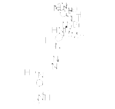 CCc1cc(Nc2ncc(Br)c(Nc3ccc4nccnc4c3P(C)(C)=O)n2)c(OC)cc1N1CCC(N2CCN(CC3CC(N(C)c4ccc(C5CCC(=O)NC5=O)cc4)C3)CC2)CC1